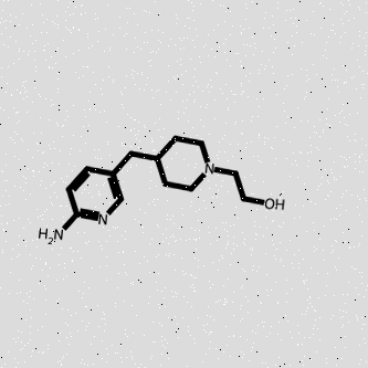 Nc1ccc(CC2CCN(CCO)CC2)cn1